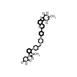 C[C@@H]1CNc2c(sc3ccc4nc(-c5ccc(N6CCN(CC7CCN(c8cccc9c8n(C)c(=O)n9C8CCC(=O)NC8=O)CC7)CC6)cc5)ccc4c23)C(=O)N1